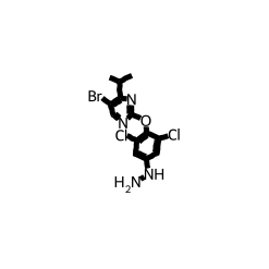 CC(C)c1nc(Oc2c(Cl)cc(NN)cc2Cl)ncc1Br